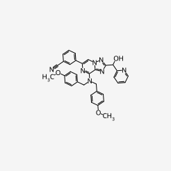 COc1ccc(CN(Cc2ccc(OC)cc2)c2nc(-c3cccc(C#N)c3)cn3nc(C(O)c4ccccn4)nc23)cc1